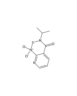 CC(C)N1S[N+]([O-])([O-])c2ncccc2C1=O